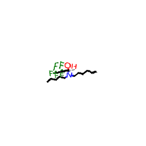 CCCCCCN(CCCCC)[C@](C)(O)C(F)(F)C(F)(F)F